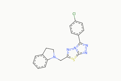 Clc1ccc(-c2nnc3sc(CN4CCc5ccccc54)nn23)cc1